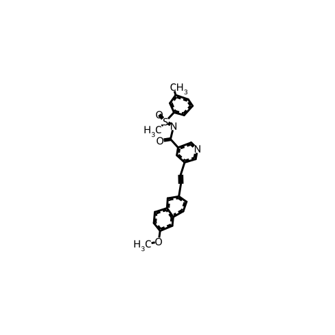 COc1ccc2cc(C#Cc3cncc(C(=O)N=S(C)(=O)c4cccc(C)c4)c3)ccc2c1